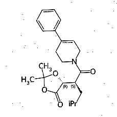 CC(C)C[C@H](C(=O)N1CC=C(c2ccccc2)CC1)[C@H]1OC(C)(C)OC1=O